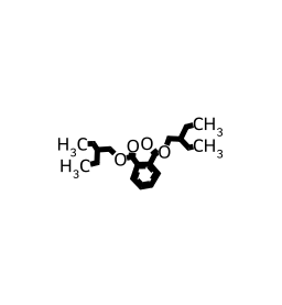 CCC(CC)COC(=O)c1ccccc1C(=O)OCC(CC)CC